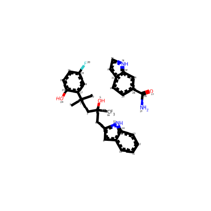 CC(C)(CC(O)(Cc1cc2ccccc2[nH]1)C(F)(F)F)c1cc(F)ccc1O.NC(=O)c1ccc2cc[nH]c2c1